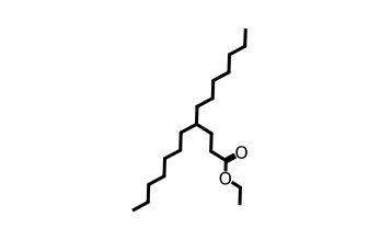 CCCCCCCC(CCCCCCC)CCC(=O)OCC